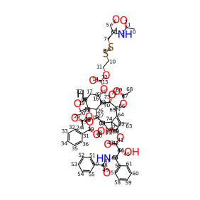 CC(=O)N[C@H](C=O)CSSCCOC(=O)O[C@H]1C[C@H]2OC[C@@]2(OC(C)=O)C2[C@H](OC(=O)c3ccccc3)[C@]3(O)C[C@H](OC(=O)[C@H](O)[C@@H](NC(=O)c4ccccc4)c4ccccc4)C(C)=C([C@@H](OC(C)=O)C(=O)[C@@]21C)C3(C)C